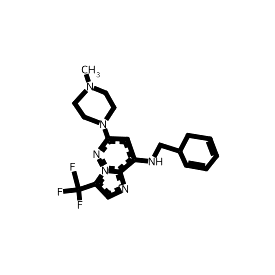 CN1CCN(c2cc(NCC3C=CC=CC3)c3ncc(C(F)(F)F)n3n2)CC1